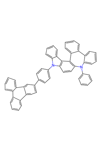 c1ccc(N2c3ccccc3-c3ccccc3-c3c2ccc2c3c3ccccc3n2-c2ccc(-c3ccc4c5ccccc5c5ccccc5c4c3)cc2)cc1